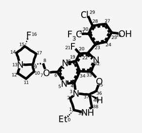 CC[C@@H]1CN2c3nc(OC[C@]45CCCN4C[C@H](F)C5)nc4c(F)c(-c5cc(O)cc(Cl)c5C(F)(F)F)nc(c34)OC[C@@H]2CN1